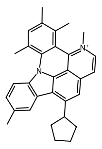 Cc1ccc2c(c1)c1c(C3CCCC3)cc3cc[n+](C)c4c5c(C)c(C)cc(C)c5n2c1c34